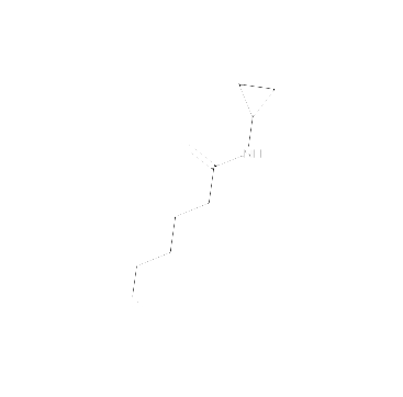 O=C(O)CCCCC(=O)NC1CC1